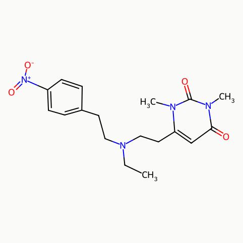 CCN(CCc1ccc([N+](=O)[O-])cc1)CCc1cc(=O)n(C)c(=O)n1C